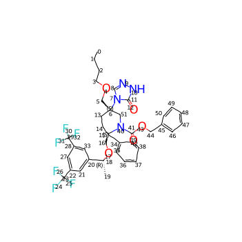 CCCCOC[C@]1(n2cn[nH]c2=O)CC[C@@](CO[C@H](C)c2cc(C(F)(F)F)cc(C(F)(F)F)c2)(c2ccccc2)N(C(=O)OCc2ccccc2)C1